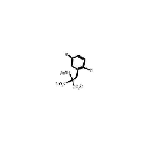 CCOC(=O)C(Cc1cc(Br)ccc1Cl)(NC(C)=O)C(=O)OCC